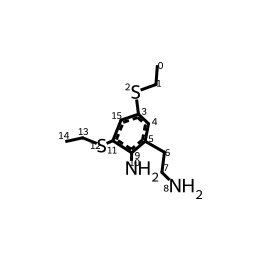 CCSc1cc(CCN)c(N)c(SCC)c1